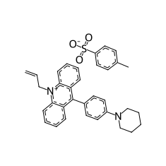 C=CC[n+]1c2ccccc2c(-c2ccc(N3CCCCC3)cc2)c2ccccc21.Cc1ccc(S(=O)(=O)[O-])cc1